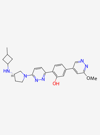 COc1cc(-c2ccc(-c3ccc(N4CC[C@H](NC5CC(C)C5)C4)nn3)c(O)c2)cnn1